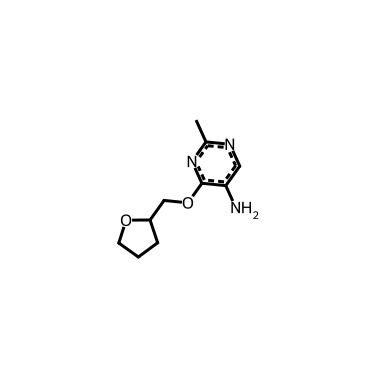 Cc1ncc(N)c(OCC2CCCO2)n1